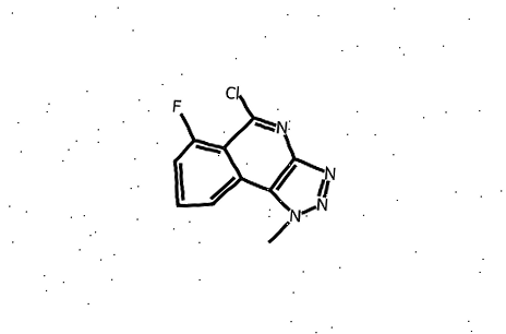 Cn1nnc2nc(Cl)c3c(F)cccc3c21